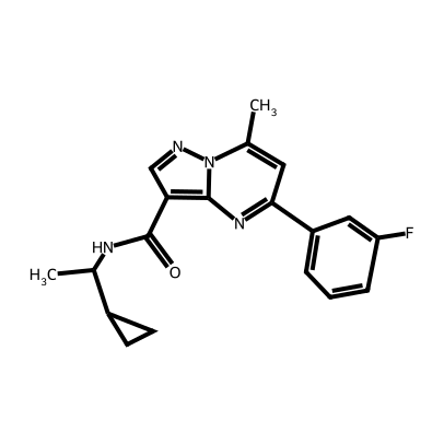 Cc1cc(-c2cccc(F)c2)nc2c(C(=O)NC(C)C3CC3)cnn12